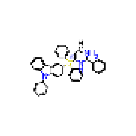 C/C=C(\NC(N)c1ccccc1)S(c1ccccc1)(c1ccccc1)c1ccc2c(c1)c1ccccc1n2C1C=CC=CC1